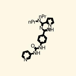 CCCN(CCC)/C(=N/C(=N)c1ccc(NC(=O)Nc2cccnc2)cc1)c1ccc[nH]1